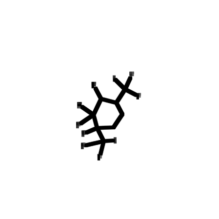 FC1C(C(F)(F)I)CCC(F)(C(F)(F)I)C1(F)F